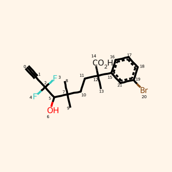 C#CC(F)(F)C(O)C(C)(C)CCC(C)(C(=O)O)c1cccc(Br)c1